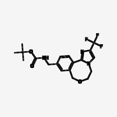 CC(C)(C)OC(=O)NCc1ccc2c(c1)COCCn1cc(C(F)(F)F)nc1-2